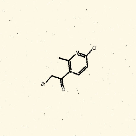 Cc1nc(Cl)ccc1C(=O)CBr